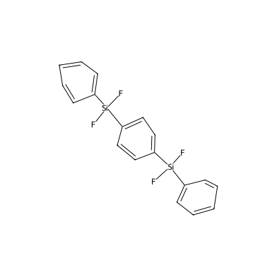 F[Si](F)(c1ccccc1)c1ccc([Si](F)(F)c2ccccc2)cc1